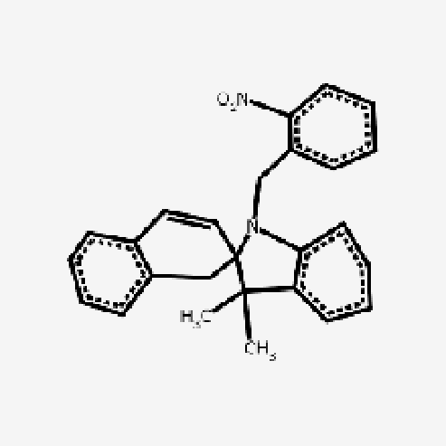 CC1(C)c2ccccc2N(Cc2ccccc2[N+](=O)[O-])C12C=Cc1ccccc1C2